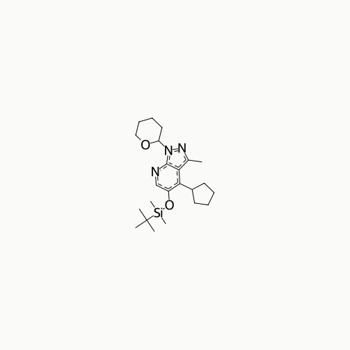 Cc1nn(C2CCCCO2)c2ncc(O[Si](C)(C)C(C)(C)C)c(C3CCCC3)c12